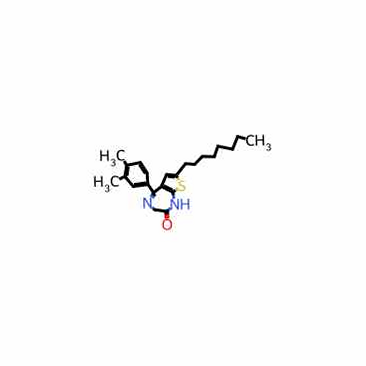 CCCCCCCCc1cc2c(s1)NC(=O)CN=C2c1ccc(C)c(C)c1